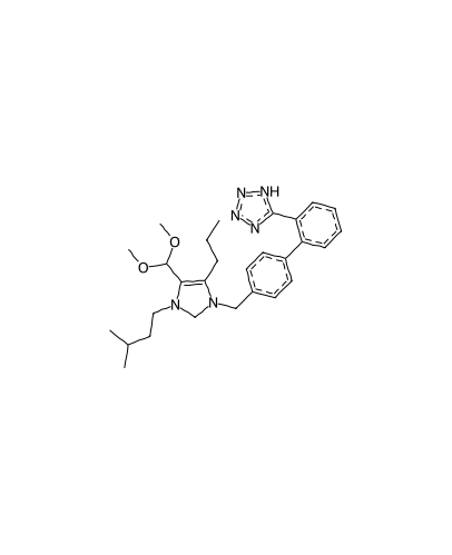 CCCC1=C(C(OC)OC)N(CCC(C)C)CN1Cc1ccc(-c2ccccc2-c2nnn[nH]2)cc1